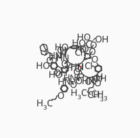 CCCCOc1ccc(NC(=O)NC(=O)C[C@@H]2CC(=O)[C@H](NC(=O)[C@H](CC)CC(C)C)[C@H](O)c3ccc(c(Cl)c3)Oc3cc4cc(c3O[C@@H]3O[C@H](CO)[C@@H](O)[C@H](O)[C@H]3O)Oc3ccc(cc3Cl)[C@@H](O)[C@@H]3NC(=O)[C@H](CC(=O)[C@@H]4NC2=O)c2ccc(O)c(c2)-c2c(O)cc(O)cc2[C@@H](C(=O)CC2C4CC5CC(C4)CC2C5)NC3=O)cc1